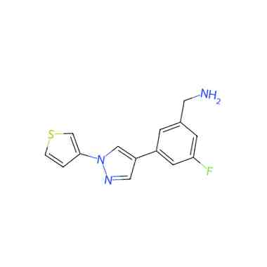 NCc1cc(F)cc(-c2cnn(-c3ccsc3)c2)c1